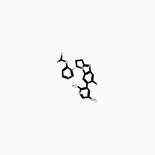 Cc1cnc(C)c(-c2cc3c(cc2F)nc2n3[C@H](c3ccccc3OC(F)F)CC2)c1